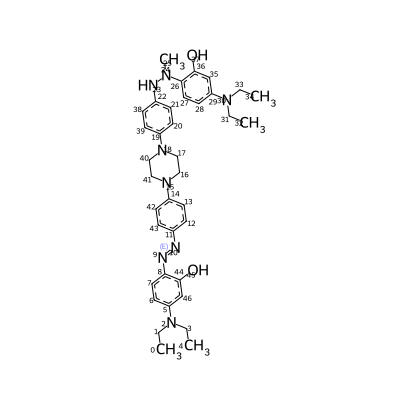 CCN(CC)c1ccc(/N=N/c2ccc(N3CCN(c4ccc(NN(C)c5ccc(N(CC)CC)cc5O)cc4)CC3)cc2)c(O)c1